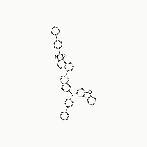 c1ccc(-c2ccc(-c3nc4ccc5c(-c6ccc7ccc(N(c8ccc(-c9ccccc9)cc8)c8ccc9oc%10ccccc%10c9c8)cc7c6)cccc5c4o3)cc2)cc1